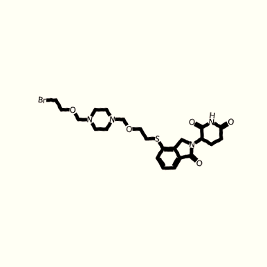 O=C1CCC(N2Cc3c(SCCOCN4CCN(COCCBr)CC4)cccc3C2=O)C(=O)N1